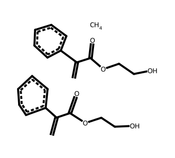 C.C=C(C(=O)OCCO)c1ccccc1.C=C(C(=O)OCCO)c1ccccc1